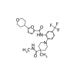 CNC(=O)C1(C)CCN(c2ccc(C(F)(F)F)cc2NC(=O)c2ccc(C3CCOCC3)o2)CC1